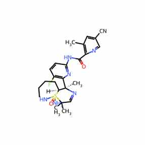 Cc1cc(C#N)cnc1C(=O)Nc1ccc(F)c([C@@]2(C)N=CC(C)(C)S3(N)(=O)NCCCC[C@@H]23)n1